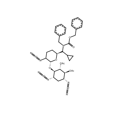 CC(=O)O[C@@H]1[C@@H](OC(C)=O)[C@H](N=[N+]=[N-])C[C@H](N=[N+]=[N-])[C@H]1O[C@H]1O[C@H](C(C2CC2)N(Cc2ccccc2)C(=O)OCc2ccccc2)CCC1N=[N+]=[N-]